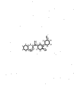 O=C(Cc1ccccc1Br)Nc1ccc(=O)n(-c2cccc(F)c2)c1